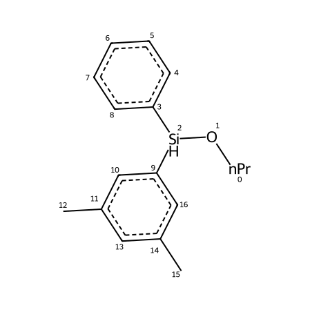 CCCO[SiH](c1ccccc1)c1cc(C)cc(C)c1